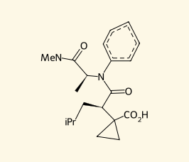 CNC(=O)[C@H](C)N(C(=O)[C@H](CC(C)C)C1(C(=O)O)CC1)c1ccccc1